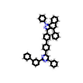 c1ccc(-c2cccc(-c3nc(-c4ccccc4)cc(-c4ccc(-c5ccc(-c6nn(-c7ccccc7)c7c6c(-c6ccccc6)cc6ccccc67)cc5)cc4)n3)c2)cc1